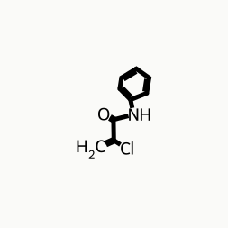 C=C(Cl)C(=O)Nc1ccccc1